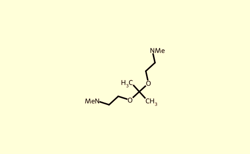 CNCCOC(C)(C)OCCNC